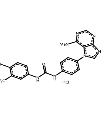 CNc1ncnc2ncn(-c3ccc(NC(=O)Nc4ccc(Cl)c(C(F)(F)F)c4)cc3)c12.Cl